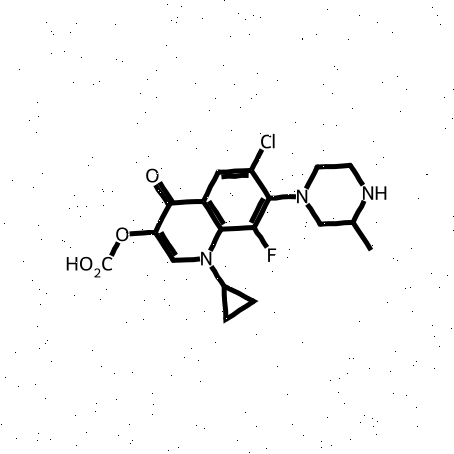 CC1CN(c2c(Cl)cc3c(=O)c(OC(=O)O)cn(C4CC4)c3c2F)CCN1